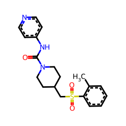 Cc1ccccc1S(=O)(=O)CC1CCN(C(=O)Nc2ccncc2)CC1